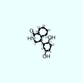 O=c1[nH]cc(-c2cc(O)ccc2O)c2ccccc12